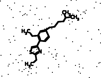 CCc1nc(-c2ccc(CCCCC(C)C)cc2CC)cs1